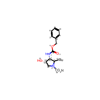 CC(C)(C)C1[C@@H](NC(=O)OCc2ccccc2)[C@@H](O)CN1C(=O)O